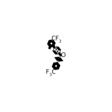 Cc1ccc(C(F)(F)F)cc1N1CCN(C(=O)[C@]23C[C@@]2(c2ccc(C(F)(F)F)cc2)C3)CC1